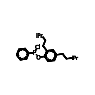 CC(C)CCc1ccc(OP(Cl)c2ccccc2)c(CCC(C)C)c1